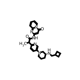 CC(C(=O)Nc1cc(=O)n2ccccc2n1)c1ccc(N2CCC[C@@H](NCC3CCC3)C2)cn1